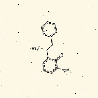 Nc1cccn([C@@H](Cc2ccccc2)C(=O)O)c1=O